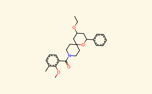 CCOC1CC(c2ccccc2)OC2(CCN(C(=O)c3cccc(C)c3OC)CC2)C1